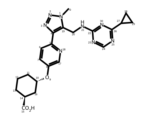 Cn1nnc(-c2ccc(O[C@H]3CCC[C@H](C(=O)O)C3)cn2)c1CNc1ncnc(C2CC2)n1